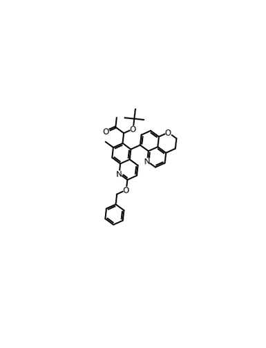 CC(=O)C(OC(C)(C)C)c1c(C)cc2nc(OCc3ccccc3)ccc2c1-c1ccc2c3c(ccnc13)CCO2